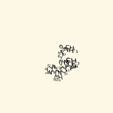 CNC(=O)N1CCC(C(=O)N(C)[C@@H](c2ccc(Nc3cnc4cccnc4c3C3CC3)cc2)C(F)(F)F)C1